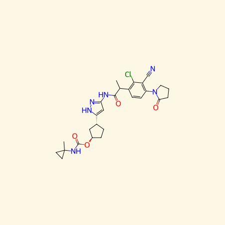 CC(C(=O)Nc1cc([C@@H]2CC[C@@H](OC(=O)NC3(C)CC3)C2)[nH]n1)c1ccc(N2CCCC2=O)c(C#N)c1Cl